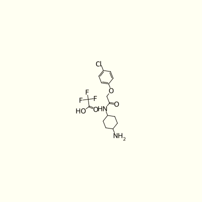 NC1CCC(NC(=O)COc2ccc(Cl)cc2)CC1.O=C(O)C(F)(F)F